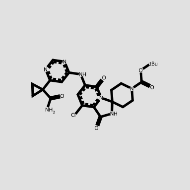 CC(C)(C)OC(=O)N1CCC2(CC1)NC(=O)c1c(Cl)cc(Nc3cc(C4(C(N)=O)CC4)ncn3)c(=O)n12